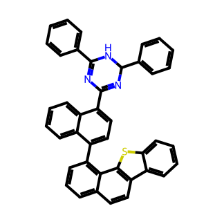 c1ccc(C2=NC(c3ccc(-c4cccc5ccc6c7ccccc7sc6c45)c4ccccc34)=NC(c3ccccc3)N2)cc1